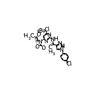 C[C@H](Nc1nc(Cl)cc(N2C(=O)OC[C@@H]2[C@@H](C)OC(C)(C)C)n1)c1cn(-c2ccc(Cl)cc2)nn1